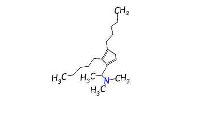 CCCCCC1=C(CCCCC)C(C(C)N(C)C)=CC1